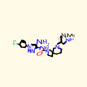 CN/C=C(\C=N)CN1CCCC2(CCN(C(=O)NC(=N)/C(N)=C\Nc3ccc(F)cc3)C2)C1